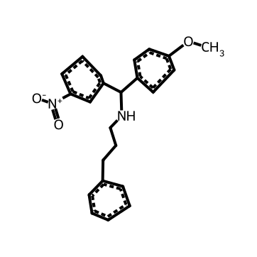 COc1ccc(C(NCCCc2ccccc2)c2cccc([N+](=O)[O-])c2)cc1